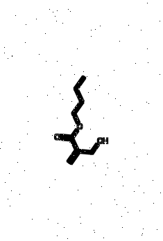 C=C(CO)C(=O)OCCCC